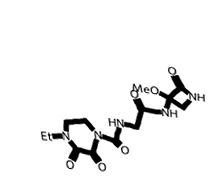 CCN1CCN(C(=O)NCC(=O)NC2(OC)CNC2=O)C(=O)C1=O